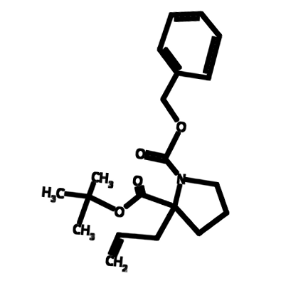 C=CCC1(C(=O)OC(C)(C)C)CCCN1C(=O)OCc1ccccc1